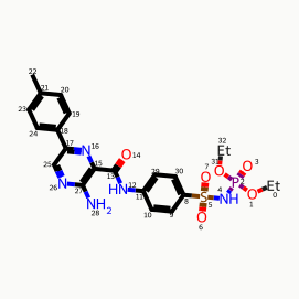 CCOP(=O)(NS(=O)(=O)c1ccc(NC(=O)c2nc(-c3ccc(C)cc3)cnc2N)cc1)OCC